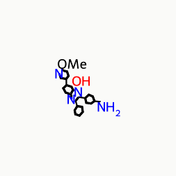 COc1ccc(-c2ccc3nc(-c4ccccc4)c(-c4ccc(CN)cc4)nc3c2O)cn1